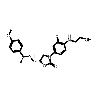 COc1ccc([C@H](C)NC[C@@H]2CN(c3ccc(NCCO)c(F)c3)C(=O)O2)cc1